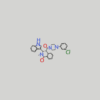 CN1C(=O)c2ccccc2C(C(=O)N2CCN(c3cccc(Cl)c3)CC2)C1c1c[nH]c2ccccc12